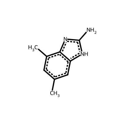 Cc1cc(C)c2nc(N)[nH]c2c1